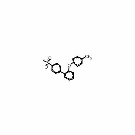 CS(=O)(=O)c1ccc(-c2ccccc2Oc2ccc(C(F)(F)F)cc2)cc1